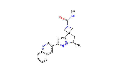 C[C@@H]1CC2(CN(C(=O)NC(C)(C)C)C2)c2cc(-c3cnc4ccccc4c3)nn21